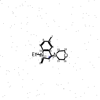 C=C/C=C(\c1cc(C)ccc1N(C)CC)N1CCOCC1